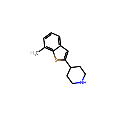 Cc1cccc2cc(C3CCNCC3)sc12